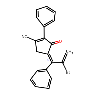 C=C(CC)/C(=C1/CC(C#N)=C(c2ccccc2)C1=O)c1ccccc1